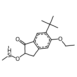 CCOc1cc2c(cc1C(C)(C)C)C(=O)C(O[SiH](C)C)C2